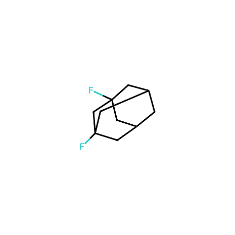 FC12CC3CC(C1)CC(F)(C3)C2